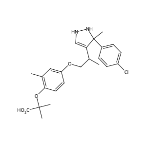 Cc1cc(OCC(C)C2=CNNC2(C)c2ccc(Cl)cc2)ccc1OC(C)(C)C(=O)O